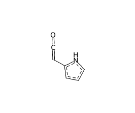 O=C=Cc1ccc[nH]1